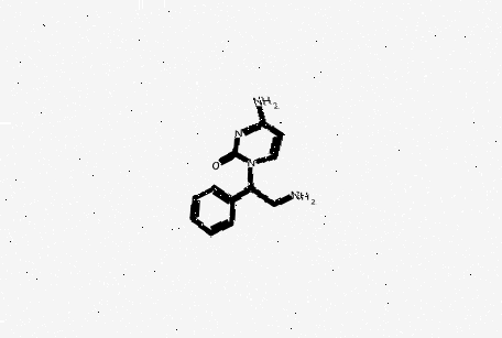 NCC(c1ccccc1)n1ccc(N)nc1=O